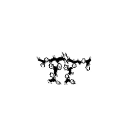 CC(=O)OCCC(CNCC(CCOC(C)=O)OC(=O)COC(C)=O)OC(=O)COC(C)=O